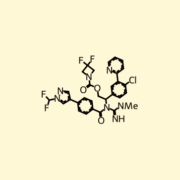 CNC(=N)N(C(=O)c1ccc(-c2cnn(C(F)F)c2)cc1)C(COC(=O)N1CC(F)(F)C1)c1ccc(Cl)c(-c2ccccn2)c1